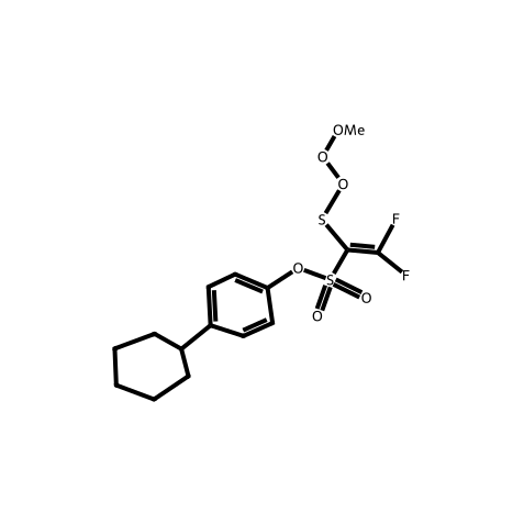 COOOSC(=C(F)F)S(=O)(=O)Oc1ccc(C2CCCCC2)cc1